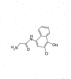 NCC(=O)Nc1cc(Cl)c(O)c2ccccc12